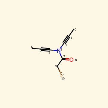 CC#CN(C#CC)C(=O)C[S]